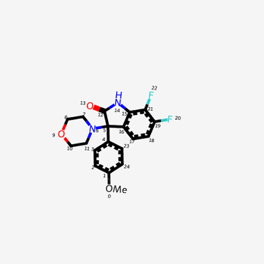 COc1ccc(C2(N3CCOCC3)C(=O)Nc3c2ccc(F)c3F)cc1